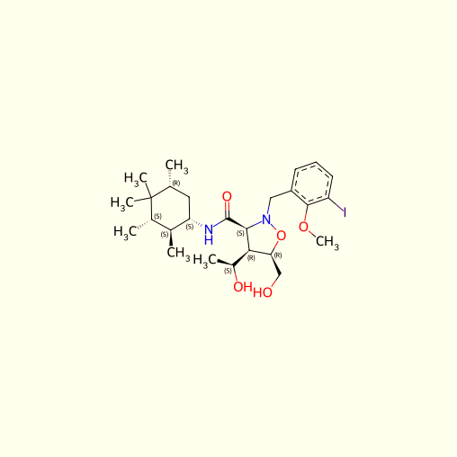 COc1c(I)cccc1CN1O[C@@H](CO)[C@@H]([C@H](C)O)[C@H]1C(=O)N[C@H]1C[C@@H](C)C(C)(C)[C@@H](C)[C@@H]1C